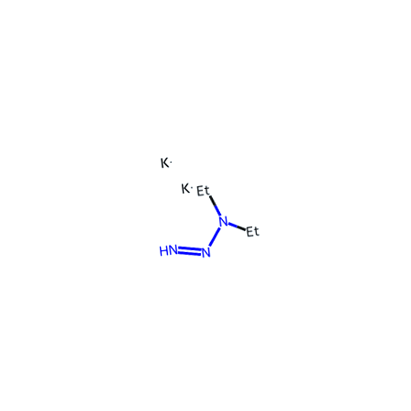 CCN(CC)N=N.[K].[K]